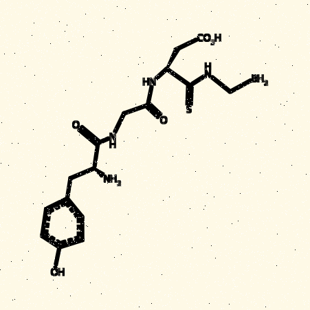 BCNC(=S)[C@H](CC(=O)O)NC(=O)CNC(=O)[C@@H](N)Cc1ccc(O)cc1